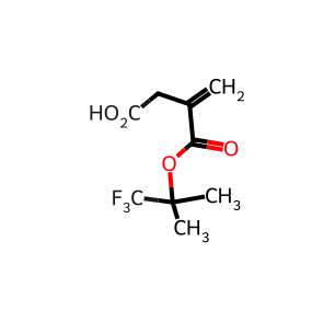 C=C(CC(=O)O)C(=O)OC(C)(C)C(F)(F)F